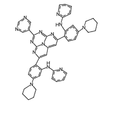 C1=C(c2ccc(N3CCCCC3)cc2Nc2ccccn2)N=C2N=C(c3cncnc3)N=C3N=C(c4ccc(N5CCCCC5)cc4Nc4ccccn4)C=C1N23